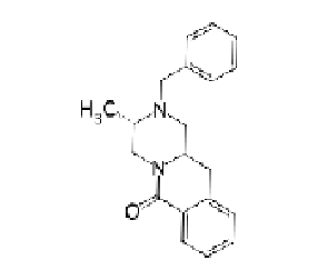 C[C@H]1CN2C(=O)c3ccccc3CC2CN1Cc1ccccc1